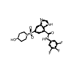 O=C(Nc1cc(F)c(F)c(F)c1)c1cc(S(=O)(=O)N2CCC(O)CC2)cc2nc[nH]c12